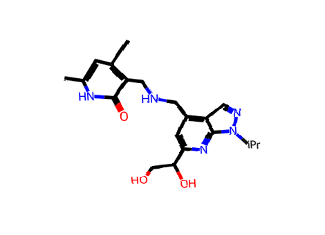 Cc1cc(C)c(CNCc2cc(C(O)CO)nc3c2cnn3C(C)C)c(=O)[nH]1